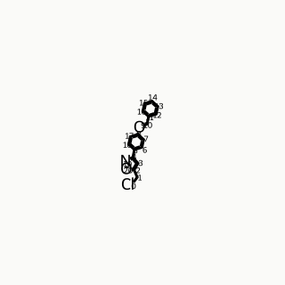 ClCc1cc(-c2ccc(OCc3ccccc3)cc2)no1